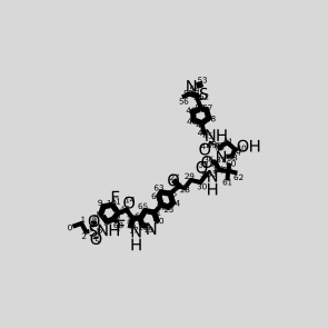 CCCS(=O)(=O)Nc1ccc(F)c(C(=O)c2c[nH]c3ncc(-c4ccc(C(=O)CCCC(=O)N[C@H](C(=O)N5C[C@H](O)C[C@H]5C(=O)NCc5ccc(-c6scnc6C)cc5)C(C)(C)C)cc4)cc23)c1F